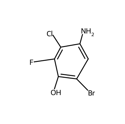 Nc1cc(Br)c(O)c(F)c1Cl